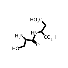 NC(CO)C(=O)NC(CC(=O)O)C(=O)O